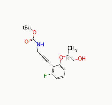 C[C@H](CO)Oc1cccc(F)c1C#CCNC(=O)OC(C)(C)C